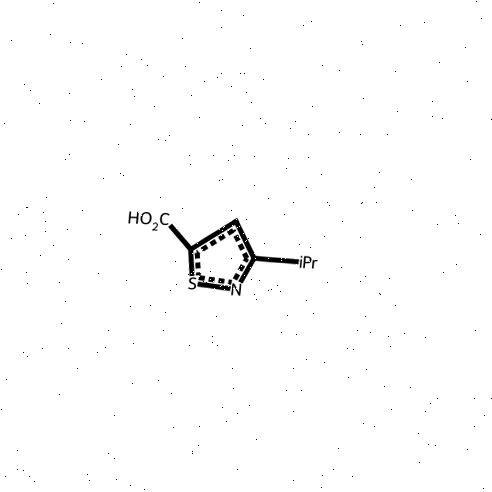 CC(C)c1cc(C(=O)O)sn1